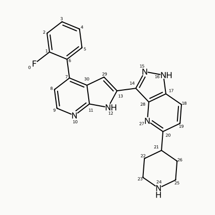 Fc1ccccc1-c1ccnc2[nH]c(-c3n[nH]c4ccc(C5CCNCC5)nc34)cc12